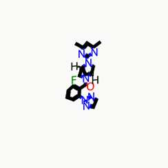 Cc1cc(C)nc(N2C[C@H]3C[C@@H]2CN3C(=O)c2c(F)cccc2-n2nccn2)n1